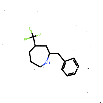 FC(F)(F)C1CCCNC(Cc2ccccc2)C1